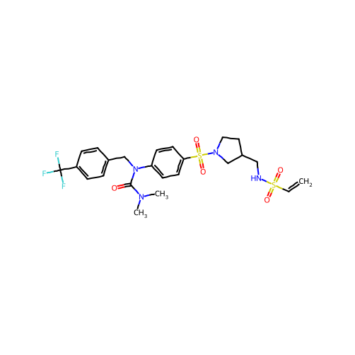 C=CS(=O)(=O)NCC1CCN(S(=O)(=O)c2ccc(N(Cc3ccc(C(F)(F)F)cc3)C(=O)N(C)C)cc2)C1